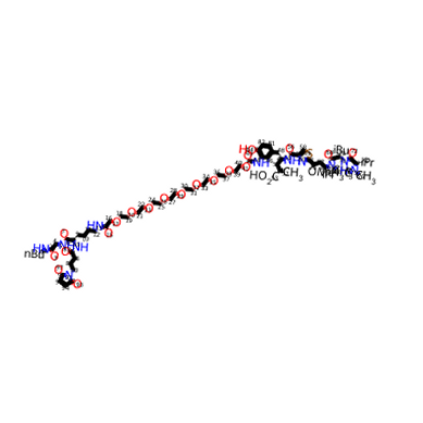 CCCCNC(=O)CNC(=O)[C@H](CCCCNC(=O)COCCOCCOCCOCCOCCOCCOCCOCCOC(=O)Nc1cc(C[C@@H](C[C@H](C)C(=O)O)NC(=O)c2csc([C@@H](C[C@H](C(C)C)N(C)C(=O)[C@@H](NC(=O)[C@H](C(C)C)N(C)C)[C@@H](C)CC)OC)n2)ccc1O)NC(=O)CCCN1C(=O)C=CC1=O